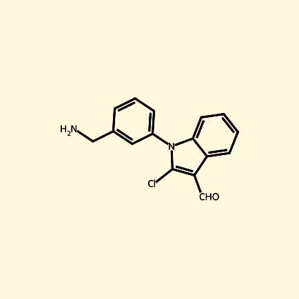 NCc1cccc(-n2c(Cl)c(C=O)c3ccccc32)c1